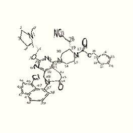 CN1CCC[C@H]1COc1nc2c(c(N3CCN(C(=O)OCc4ccccc4)[C@@H](CC#N)C3)n1)CCC(=O)N(c1cccc3cccc(Cl)c13)C2